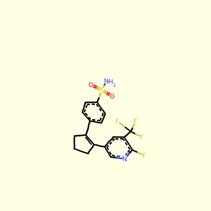 NS(=O)(=O)c1ccc(C2=C(c3cnc(F)c(C(F)(F)F)c3)CCC2)cc1